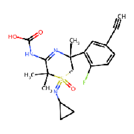 C#Cc1ccc(F)c([C@]2(C)C[S@](=O)(=NC3CC3)C(C)(C)C(NC(=O)O)=N2)c1